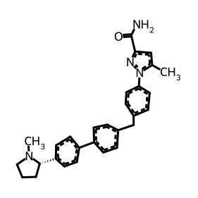 Cc1cc(C(N)=O)nn1-c1ccc(Cc2ccc(-c3ccc([C@@H]4CCCN4C)cc3)cc2)cc1